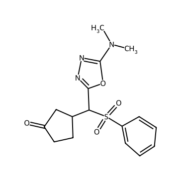 CN(C)c1nnc(C(C2CCC(=O)C2)S(=O)(=O)c2ccccc2)o1